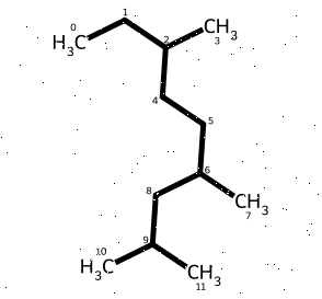 CCC(C)CCC(C)CC(C)C